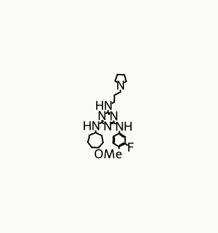 COc1ccc(Nc2nc(NCCCN3CCCC3)nc(NC3CCCCCC3)n2)cc1F